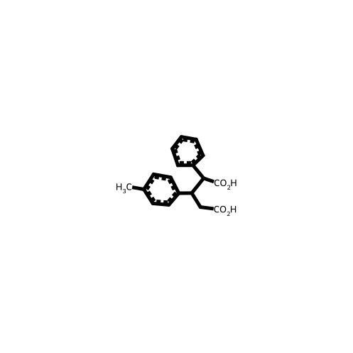 Cc1ccc(C(CC(=O)O)C(C(=O)O)c2ccccc2)cc1